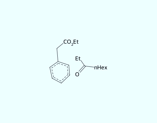 CCCCCCC(=O)CC.CCOC(=O)Cc1ccccc1